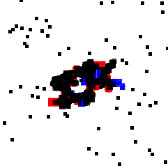 CCCCCC(=O)N[C@@H](CCC(N)=O)C(=O)N[C@@H]1C(=O)N[C@@H](Cc2ccc(O)cc2)C(=O)N[C@H]2CC[C@@H](O)N(C2=O)[C@@H](Cc2ccccc2)C(=O)N(C)[C@@H](Cc2ccc(O)cc2)C(=O)N[C@@H](C(C)C)C(=O)O[C@@H]1C